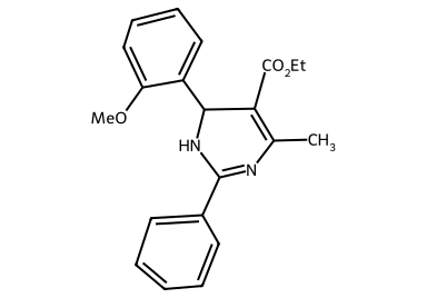 CCOC(=O)C1=C(C)N=C(c2ccccc2)NC1c1ccccc1OC